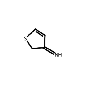 N=C1C=CSC1